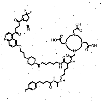 CC(NCCCCC(NC(=O)CN1CCN(CC(=O)O)CCN(CC(=O)O)CCN(CC(=O)O)CC1)C(=O)NCCCCCC(=O)N1CCN(CCCOc2ccc3nccc(C(=O)CCC(=O)N4CC(F)(F)C[C@@H]4C#N)c3c2)CC1)NC(=O)CCCc1ccc(I)cc1